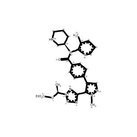 CCOC(=O)O[C@@H](C)n1nnc(-c2c(-c3ccc(C(=O)N(c4ncccc4C)[C@@H]4CCCNC4)cc3)cnn2C)n1